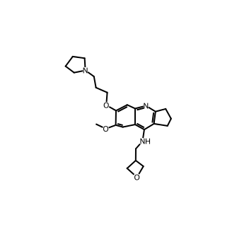 COc1cc2c(NCC3COC3)c3c(nc2cc1OCCCN1CCCC1)CCC3